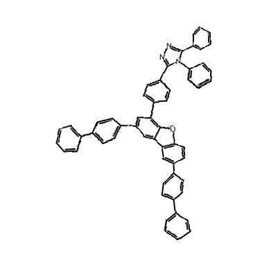 c1ccc(-c2ccc(-c3ccc4oc5c(-c6ccc(-c7nnc(-c8ccccc8)n7-c7ccccc7)cc6)cc(-c6ccc(-c7ccccc7)cc6)cc5c4c3)cc2)cc1